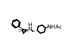 CC(=O)N[C@H]1CC[C@H](CN[C@@H]2C[C@H]2c2ccccc2)CC1